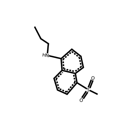 CCCNc1cccc2c(S(C)(=O)=O)cccc12